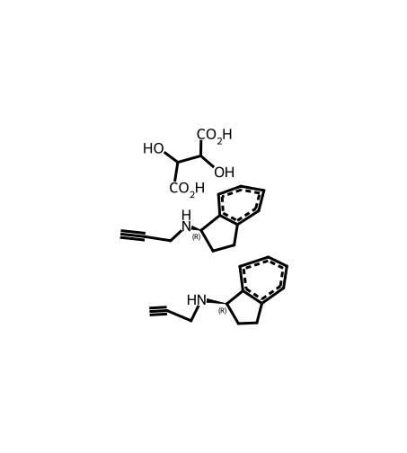 C#CCN[C@@H]1CCc2ccccc21.C#CCN[C@@H]1CCc2ccccc21.O=C(O)C(O)C(O)C(=O)O